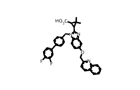 CC1(C)C(C(=O)O)C1c1nc2cc(OCc3ccc4ccccc4n3)ccc2n1Cc1ccc(-c2ccc(F)c(F)c2)cc1